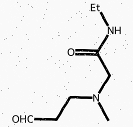 CCNC(=O)CN(C)CCC=O